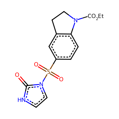 CCOC(=O)N1CCc2cc(S(=O)(=O)n3cc[nH]c3=O)ccc21